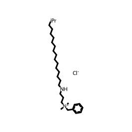 CC(C)CCCCCCCCCCCCCCCNCCC[N+](C)(C)Cc1ccccc1.[Cl-]